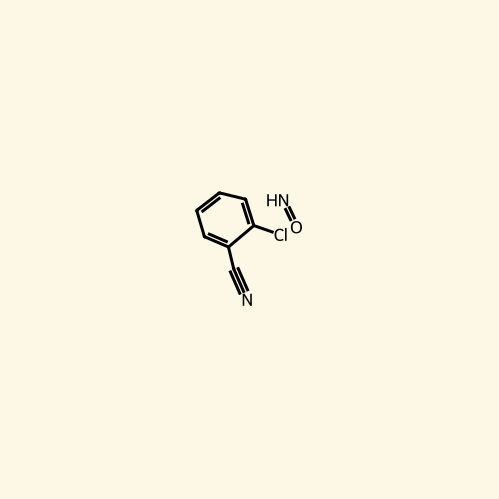 N#Cc1ccccc1Cl.N=O